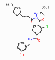 COc1ccc(C=CC(=O)N(N[C@@H](C)C(=O)O)C(=O)c2ccc(C(=O)NCc3cccc(O)c3)cc2Cl)cc1